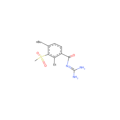 CCCCc1ccc(C(=O)N=C(N)N)c(CC)c1S(C)(=O)=O